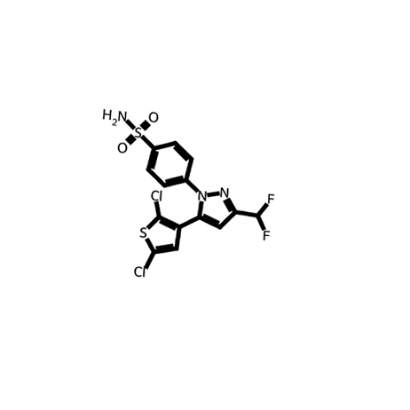 NS(=O)(=O)c1ccc(-n2nc(C(F)F)cc2-c2cc(Cl)sc2Cl)cc1